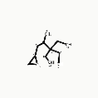 CC(CC1CO1)C(CO)(CO)CO